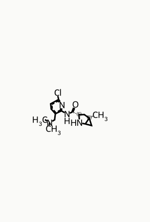 CN(C)Cc1ccc(Cl)nc1NC(=O)[C@@H]1C[C@@]2(C)CC2N1